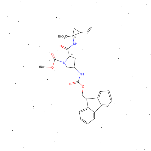 C=CC1C[C@]1(NC(=O)[C@@H]1CC(NC(=O)OCC2c3ccccc3-c3ccccc32)CN1C(=O)OC(C)(C)C)C(=O)OCC